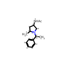 CC(=O)NC1CC(C)N([C@@H](C)c2ccccc2)C1